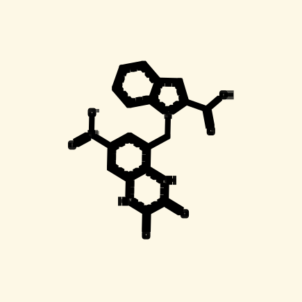 O=C(O)c1cc2ccccc2n1Cc1cc([N+](=O)[O-])cc2[nH]c(=O)c(=O)[nH]c12